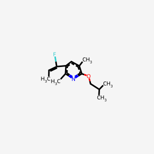 C/C=C(/F)c1cc(C)c(OCC(C)C)nc1C